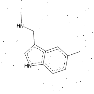 CNCc1c[nH]c2ccc(C)cc12